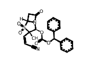 C[C@]1(/C=C\C#N)[C@H](OC(=O)OC(c2ccccc2)c2ccccc2)N2C(=O)C[C@H]2S1(=O)=O